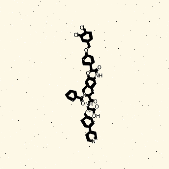 O=C1Nc2cc3c(cc2OC1c1ccc(OCc2ccc(Cl)c(Cl)c2)cc1)CN(C(=O)c1ccccc1)C(C(=O)N[C@@H](Cc1ccc(-c2ccncc2)cc1)C(=O)O)C3